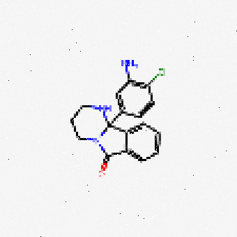 Nc1cc(C23NCCCN2C(=O)c2ccccc23)ccc1Cl